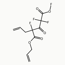 C=CCOC(=O)C(F)(CC=C)C(=O)C(F)(F)C(=O)OF